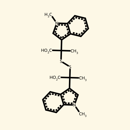 Cn1cc(C(C)(SSC(C)(C(=O)O)c2cn(C)c3ccccc23)C(=O)O)c2ccccc21